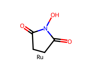 O=C1CCC(=O)N1O.[Ru]